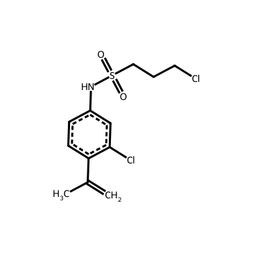 C=C(C)c1ccc(NS(=O)(=O)CCCCl)cc1Cl